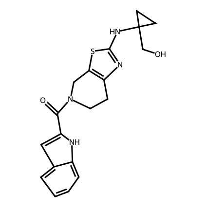 O=C(c1cc2ccccc2[nH]1)N1CCc2nc(NC3(CO)CC3)sc2C1